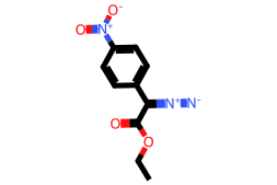 CCOC(=O)C(=[N+]=[N-])c1ccc([N+](=O)[O-])cc1